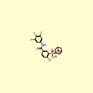 C[C@]1(O)C2CC1C[C@H](S(=O)(=O)c1cc(C(=O)Nc3cc(F)c(F)c(F)c3)ccc1Cl)C2